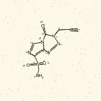 C#CCn1nnc2c(S(N)(=O)=O)ncn2c1=O